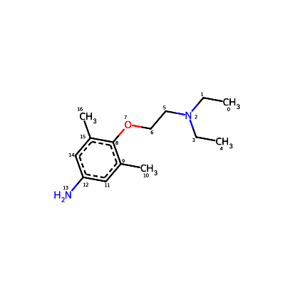 CCN(CC)CCOc1c(C)cc(N)cc1C